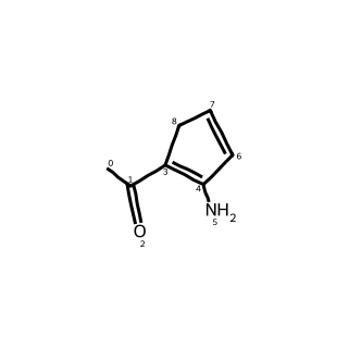 CC(=O)C1=C(N)C=CC1